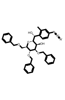 Cc1cc(N=[N+]=[N-])ccc1[C@@H](O)[C@H]1O[C@H](COCc2ccccc2)[C@@H](OCc2ccccc2)[C@H](OCc2ccccc2)[C@@H]1O